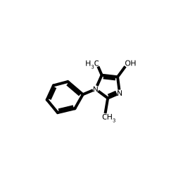 Cc1nc(O)c(C)n1-c1ccccc1